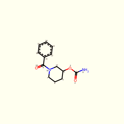 NC(=O)OC1CCCN(C(=O)c2ccccc2)C1